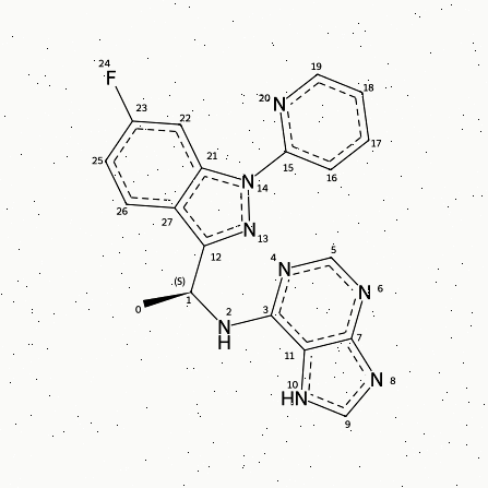 C[C@H](Nc1ncnc2nc[nH]c12)c1nn(-c2ccccn2)c2cc(F)ccc12